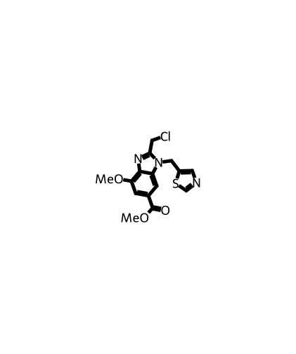 COC(=O)c1cc(OC)c2nc(CCl)n(Cc3cncs3)c2c1